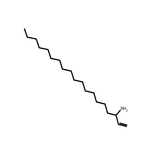 C=CC(N)CCCCCCCCCCCCCCCC